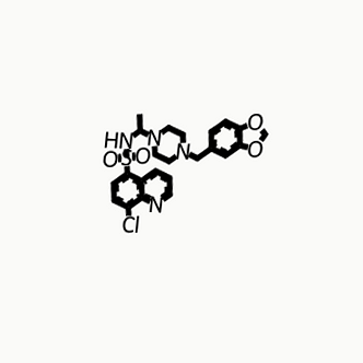 CC(NS(=O)(=O)c1ccc(Cl)c2ncccc12)N1CCN(Cc2ccc3c(c2)OCO3)CC1